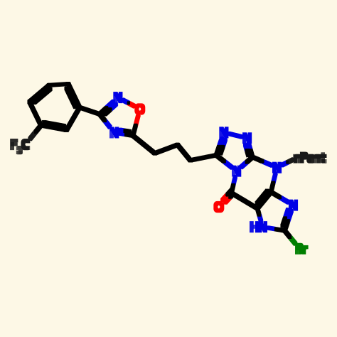 CCCCCn1c2nc(Br)[nH]c2c(=O)n2c(CCCc3nc(-c4cccc(C(F)(F)F)c4)no3)nnc12